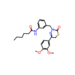 CCCCCC(=O)Nc1cccc(CN2N=C(c3ccc(OC)c(OC)c3)CSC2=O)c1